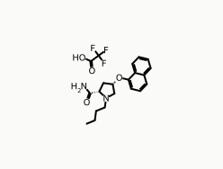 CCCCN1C[C@@H](Oc2cccc3ccccc23)C[C@H]1C(N)=O.O=C(O)C(F)(F)F